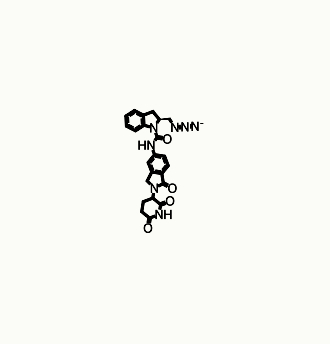 [N-]=[N+]=NC[C@@H]1Cc2ccccc2N1C(=O)Nc1ccc2c(c1)CN(C1CCC(=O)NC1=O)C2=O